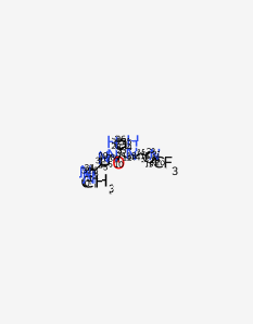 Cn1cc(-c2ccc(NC(=O)C(CNCCc3ccc(C(F)(F)F)nc3)c3ccccc3)nc2)cn1